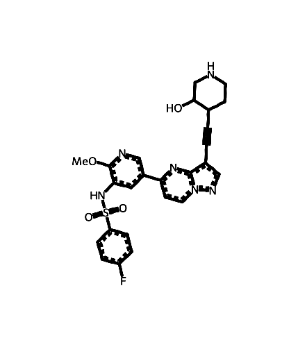 COc1ncc(-c2ccn3ncc(C#CC4CCNCC4O)c3n2)cc1NS(=O)(=O)c1ccc(F)cc1